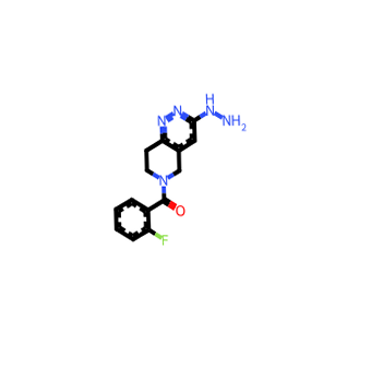 NNc1cc2c(nn1)CCN(C(=O)c1ccccc1F)C2